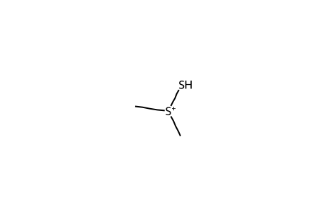 C[S+](C)S